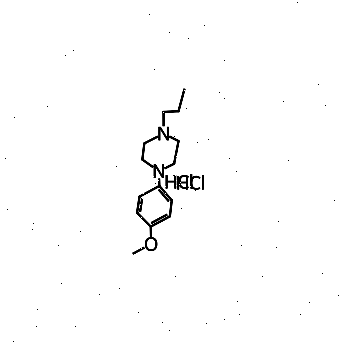 CCCN1CCN(c2ccc(OC)cc2)CC1.Cl.Cl